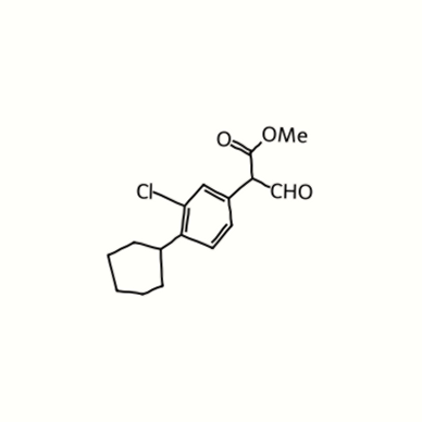 COC(=O)C(C=O)c1ccc(C2CCCCC2)c(Cl)c1